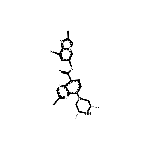 Cc1cnc2c(C(=O)Nc3cc(F)c4nc(C)cn4c3)ccc(N3C[C@@H](C)N[C@@H](C)C3)c2n1